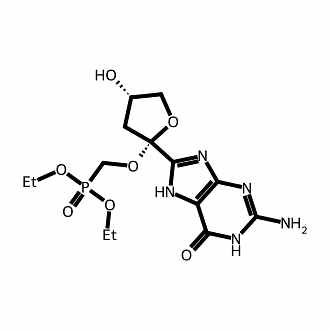 CCOP(=O)(CO[C@]1(c2nc3nc(N)[nH]c(=O)c3[nH]2)C[C@H](O)CO1)OCC